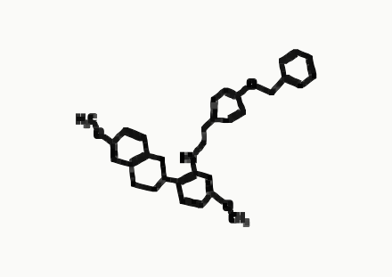 COc1ccc2c(c1)CCC(c1ccc(OC)cc1NCCc1ccc(OCc3ccccc3)cc1)C2